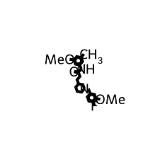 COc1cc(C)cc(NC(=O)CCC2CCCN(Cc3ccc(F)c(OC)c3)C2)c1